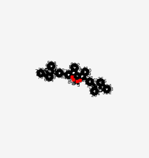 C[Si](C)(C)C1([Si](C)(C)C)c2cc(-c3ccc(N(c4ccccc4)c4cccc5c4sc4ccccc45)cc3)c3ccccc3c2-c2c1c1ccc(-c3ccc(N(c4ccccc4)c4cccc5c4sc4ccccc45)cc3)cc1c1ccccc21